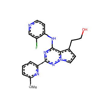 COc1cccc(-c2nc(Nc3ccncc3F)c3c(CCO)ccn3n2)n1